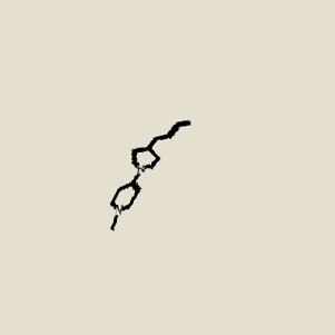 C/C=C/CC1CCN(C2CCN(C)CC2)CC1